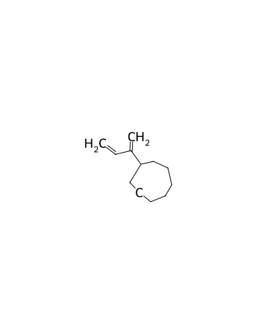 C=CC(=C)C1CCCCCCC1